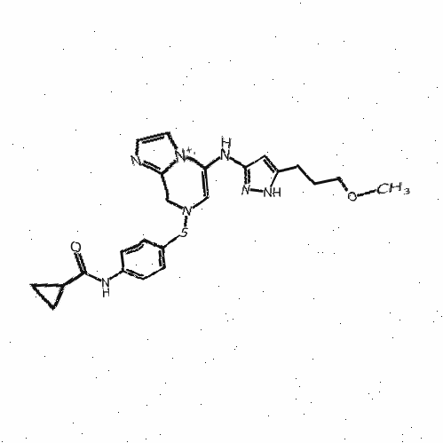 COCCCc1cc(NC2=CN(Sc3ccc(NC(=O)C4CC4)cc3)CC3=NC=C[N+]23)n[nH]1